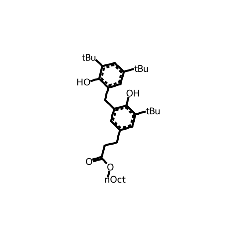 CCCCCCCCOC(=O)CCc1cc(Cc2cc(C(C)(C)C)cc(C(C)(C)C)c2O)c(O)c(C(C)(C)C)c1